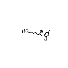 CC1C=C(C/C(Br)=C/CCCCO)C(=O)C1